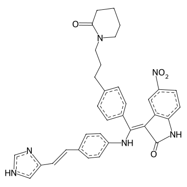 O=C1Nc2ccc([N+](=O)[O-])cc2/C1=C(/Nc1ccc(/C=C/c2c[nH]cn2)cc1)c1ccc(CCCN2CCCCC2=O)cc1